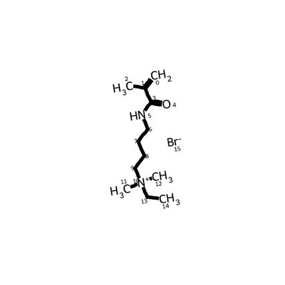 C=C(C)C(=O)NCCCC[N+](C)(C)CC.[Br-]